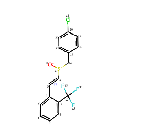 [O-][S+](/C=C/c1ccccc1C(F)(F)F)Cc1ccc(Cl)cc1